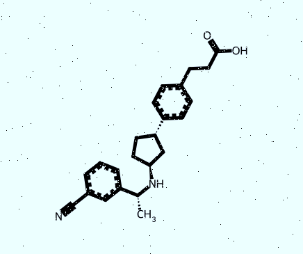 C[C@@H](N[C@H]1CC[C@H](c2ccc(CCC(=O)O)cc2)C1)c1cccc(C#N)c1